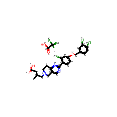 CC(CC(=O)O)CN1CCc2nc(-c3ccc(OCc4ccc(Cl)c(Cl)c4)cc3F)ncc2C1.O=C(O)C(F)(F)F